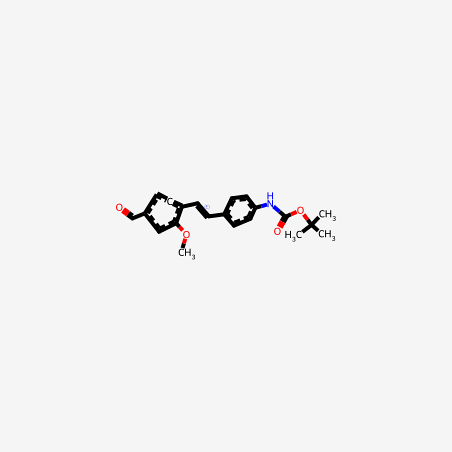 COc1cc(C=O)ccc1/C=C/c1ccc(NC(=O)OC(C)(C)C)cc1